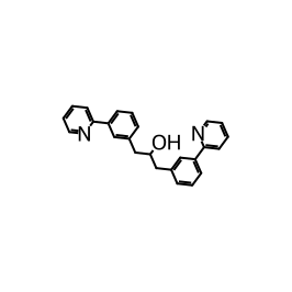 OC(Cc1cccc(-c2ccccn2)c1)Cc1cccc(-c2ccccn2)c1